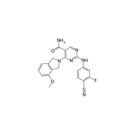 COc1cccc2c1CN(c1nc(Nc3ccc(C#N)c(F)c3)ncc1C(N)=O)C2